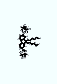 CCCCCCC1(CCCCCC)c2cc(B3OC(C)(C)C(C)(C)O3)ccc2-c2ccc(B3OC(C)(C)C(C)(C)O3)cc21